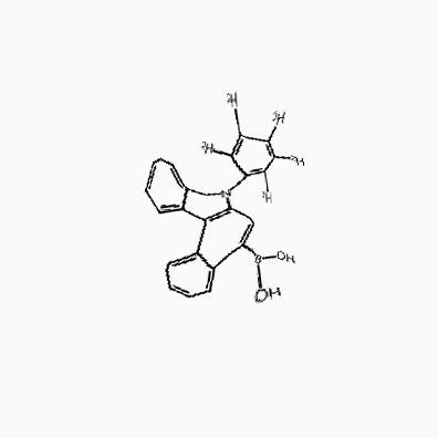 [2H]c1c([2H])c([2H])c(-n2c3ccccc3c3c4ccccc4c(B(O)O)cc32)c([2H])c1[2H]